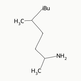 CCC(C)C(C)CCC(C)N